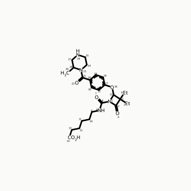 CCC1(CC)C(=O)N(C(=O)NCCCCCC(=O)O)C1Oc1ccc(C(=O)N2CCNCC2C)cc1